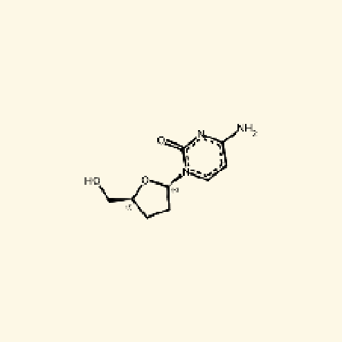 Nc1ccn([C@H]2CC[C@@H]([CH]O)O2)c(=O)n1